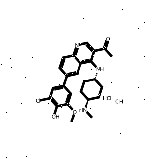 CN[C@H]1CC[C@H](Nc2c(C(C)=O)cnc3ccc(-c4cc(Cl)c(O)c(OC)c4)cc23)CC1.Cl.Cl